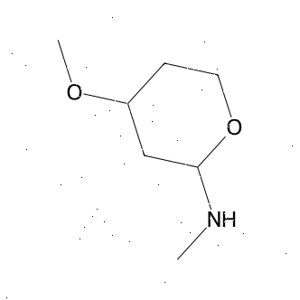 CNC1CC(OC)CCO1